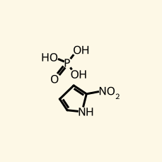 O=P(O)(O)O.O=[N+]([O-])c1ccc[nH]1